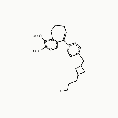 COc1c(C=O)ccc2c1CCCC=C2c1ccc(CC2CN(CCCF)C2)cc1